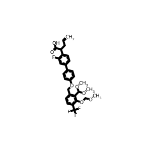 C=CCC(C(=O)O)c1ccc(-c2ccc(OCc3ccc(C(F)(F)F)c(OCOC)c3C(OC)OC)cc2)cc1F